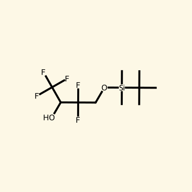 CC(C)(C)[Si](C)(C)OCC(F)(F)C(O)C(F)(F)F